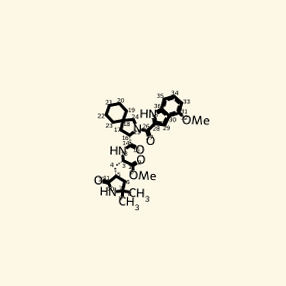 COC(=O)[C@H](C[C@@H]1CC(C)(C)NC1=O)NC(=O)[C@@H]1CC2(CCCCC2)CN1C(=O)c1cc2c(OC)cccc2[nH]1